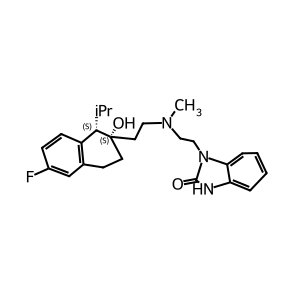 CC(C)[C@H]1c2ccc(F)cc2CC[C@]1(O)CCN(C)CCn1c(=O)[nH]c2ccccc21